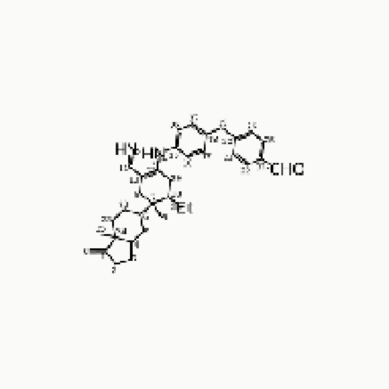 C=C1CCC2CC(C3(C)CC(C=N)=C(Nc4ccc(Cc5ccc(C=O)cc5)cc4)CC3CC)CCC12C